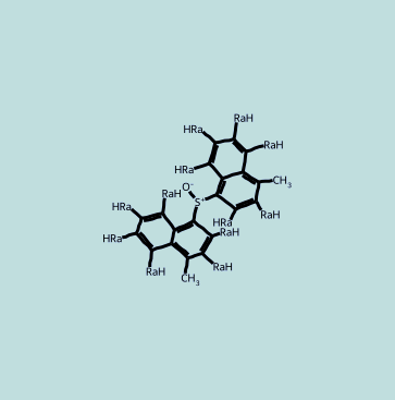 Cc1[c]([RaH])[c]([RaH])c([S+]([O-])c2[c]([RaH])[c]([RaH])c(C)c3[c]([RaH])[c]([RaH])[c]([RaH])[c]([RaH])c23)c2[c]([RaH])[c]([RaH])[c]([RaH])[c]([RaH])c12